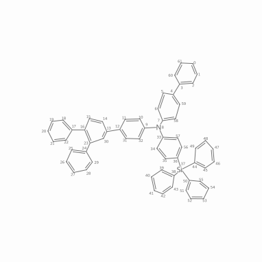 c1ccc(-c2ccc(N(c3ccc(-c4ccc(-c5ccccc5)c(-c5ccccc5)c4)cc3)c3ccc([Si](c4ccccc4)(c4ccccc4)c4ccccc4)cc3)cc2)cc1